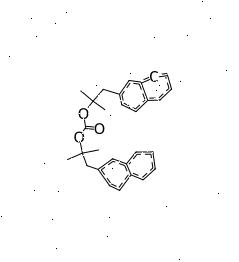 CC(C)(Cc1ccc2ccccc2c1)OC(=O)OC(C)(C)Cc1ccc2ccccc2c1